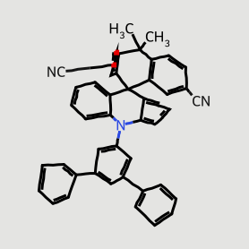 CC1(C)c2ccc(C#N)cc2C2(c3ccccc3N(c3cc(-c4ccccc4)cc(-c4ccccc4)c3)c3ccccc32)c2cc(C#N)ccc21